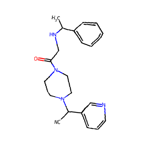 CC(NCC(=O)N1CCN(C(C#N)c2cccnc2)CC1)c1ccccc1